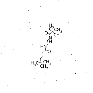 CC(C)(C)CCCC(=O)NCCNC(=O)C(C)(C)C